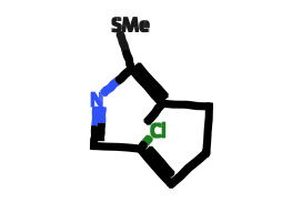 CSC1=C(/C)CC/C=C(Cl)/C=N\1